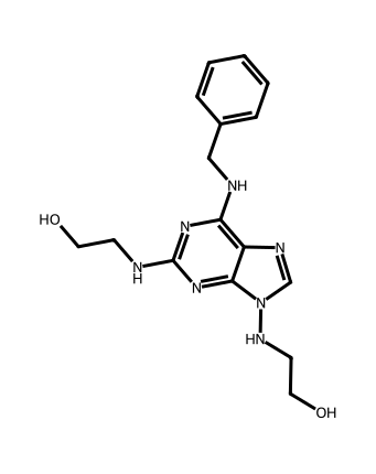 OCCNc1nc(NCc2ccccc2)c2ncn(NCCO)c2n1